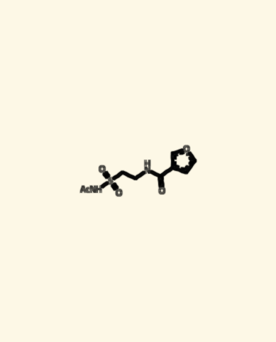 CC(=O)NS(=O)(=O)CCNC(=O)c1ccoc1